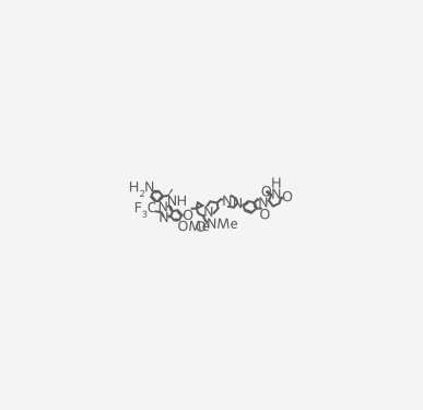 CNC(=O)C(CC1(COc2cc3c(N[C@H](C)c4cc(N)cc(C(F)(F)F)c4)nc(C)nc3cc2OC)CC1)N1CCC(CN2CCN(c3ccc4c(c3)CN(C3CCC(=O)NC3=O)C4=O)CC2)CC1